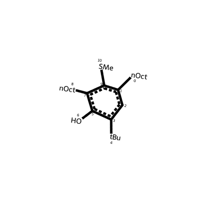 CCCCCCCCc1cc(C(C)(C)C)c(O)c(CCCCCCCC)c1SC